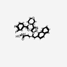 O=C(CC[C@H](Cc1ccc2ccccc2c1)n1cc(C2COCCN2C(=O)c2ccc(F)c(F)c2)nn1)NO